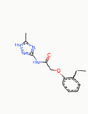 CCc1ccccc1OCC(=O)Nc1n[nH]c(C)n1